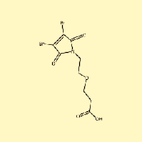 O=C(O)CCOCCN1C(=O)C(Br)=C(Br)C1=O